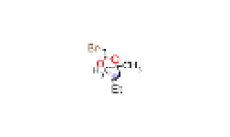 CC/C=C/C(C)(C)OC(=O)CBr